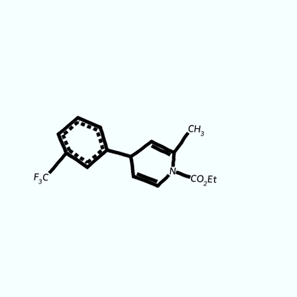 CCOC(=O)N1C=CC(c2cccc(C(F)(F)F)c2)C=C1C